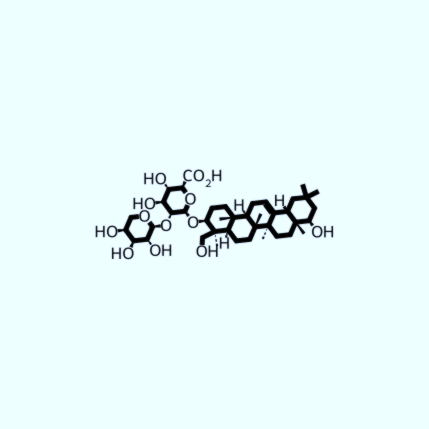 CC1(C)C[C@@H](O)[C@]2(C)CC[C@]3(C)C(=CC[C@@H]4[C@@]5(C)CC[C@H](O[C@@H]6O[C@H](C(=O)O)[C@@H](O)[C@H](O)[C@H]6O[C@@H]6OC[C@H](O)[C@H](O)[C@H]6O)[C@](C)(CO)[C@@H]5CC[C@]43C)[C@@H]2C1